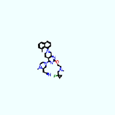 Cc1cccc2cccc(N3CCc4c(nc(OCCN(C)CC5(F)CC5)nc4N4CCN(C)C(CC#N)C4)C3)c12